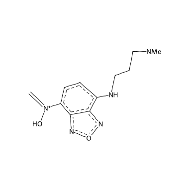 C=[N+](O)c1ccc(NCCCNC)c2nonc12